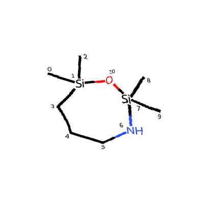 C[Si]1(C)CCCN[Si](C)(C)O1